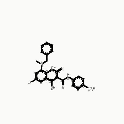 CN(Cc1ccccc1)c1cc(F)cc2c(O)c(C(=O)Nc3ccc(C(=O)O)cc3)c(=O)[nH]c12